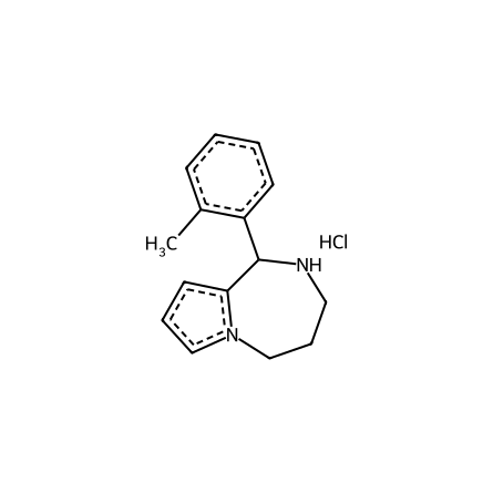 Cc1ccccc1C1NCCCn2cccc21.Cl